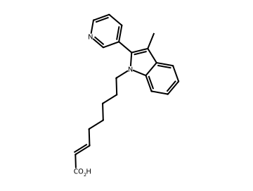 Cc1c(-c2cccnc2)n(CCCCC/C=C/C(=O)O)c2ccccc12